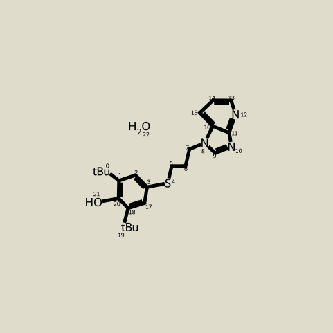 CC(C)(C)c1cc(SCCCn2cnc3ncccc32)cc(C(C)(C)C)c1O.O